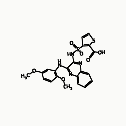 COc1ccc(OC)c(Nc2nc3ccccc3nc2NS(=O)(=O)c2ccsc2C(=O)O)c1